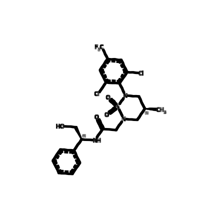 C[C@H]1CN(CC(=O)N[C@H](CO)c2ccccc2)S(=O)(=O)N(c2c(Cl)cc(C(F)(F)F)cc2Cl)C1